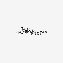 N#Cc1ccc(OCC(O)CN2CCN(NC(=O)c3cn(C4CC4)c4cc(Cl)c(F)cc4c3=O)CC2)cc1